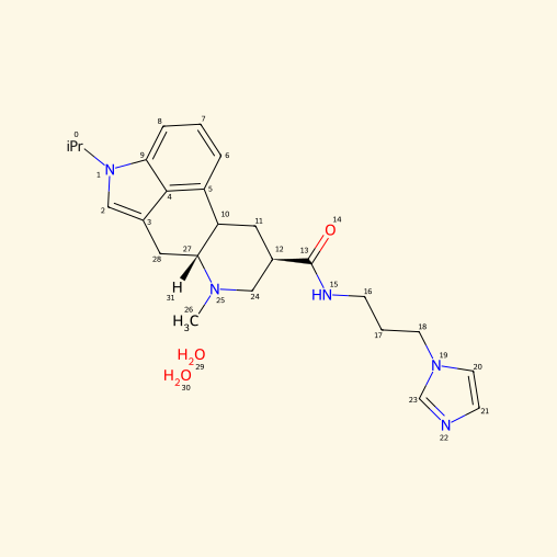 CC(C)n1cc2c3c(cccc31)C1C[C@@H](C(=O)NCCCn3ccnc3)CN(C)[C@@H]1C2.O.O